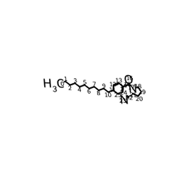 CCCCCCCCCCCC1C=CC(C(=O)N2CCC[C@H]2C#N)=CC1